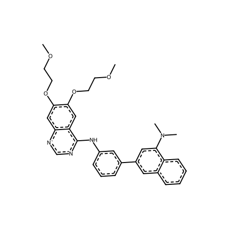 COCCOc1cc2ncnc(Nc3cccc(-c4cc(N(C)C)c5ccccc5c4)c3)c2cc1OCCOC